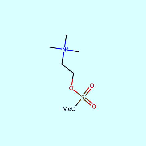 COS(=O)(=O)OCC[N+](C)(C)C